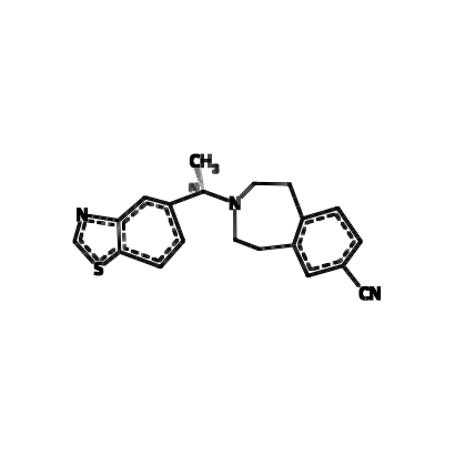 C[C@@H](c1ccc2scnc2c1)N1CCc2ccc(C#N)cc2CC1